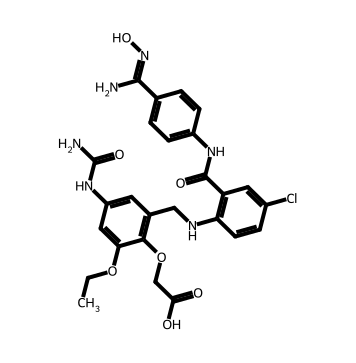 CCOc1cc(NC(N)=O)cc(CNc2ccc(Cl)cc2C(=O)Nc2ccc(/C(N)=N/O)cc2)c1OCC(=O)O